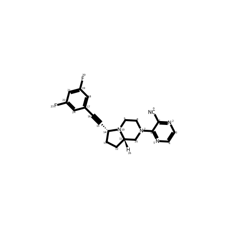 N#Cc1nccnc1N1CCN2[C@@H](CC[C@@H]2C#Cc2cc(F)cc(F)c2)C1